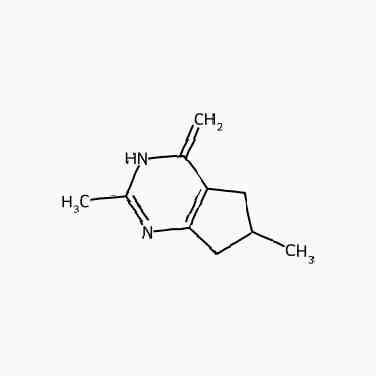 C=C1NC(C)=NC2=C1CC(C)C2